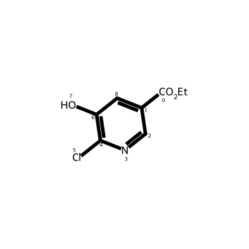 CCOC(=O)c1cnc(Cl)c(O)c1